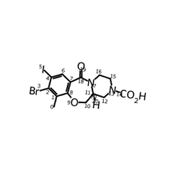 Cc1c(Br)c(I)cc2c1OC[C@H]1CN(C(=O)O)CCN1C2=O